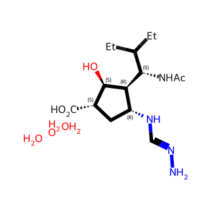 CCC(CC)[C@H](NC(C)=O)[C@@H]1[C@H](O)[C@@H](C(=O)O)C[C@H]1NC=NN.O.O.O